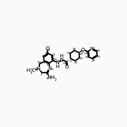 CN1CC(N)=Nc2c(cc(Cl)cc2NNC(=O)[C@H]2CC[C@H](Oc3ccccn3)CC2)C1